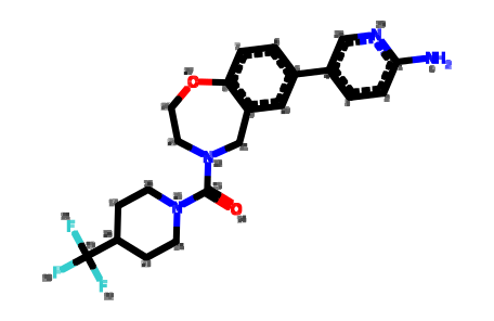 Nc1ccc(-c2ccc3c(c2)CN(C(=O)N2CCC(C(F)(F)F)CC2)CCO3)cn1